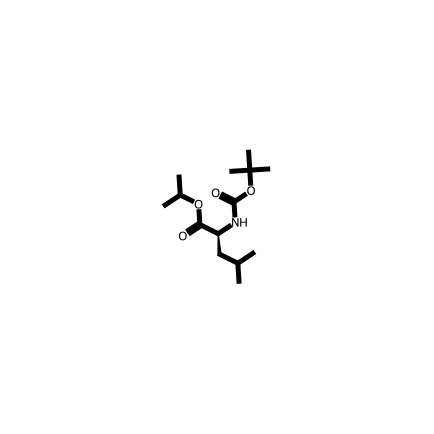 CC(C)C[C@H](NC(=O)OC(C)(C)C)C(=O)OC(C)C